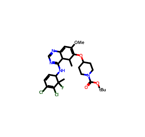 COC1=C(OC2CCN(C(=O)OC(C)(C)C)CC2)C(C)C2C(=C1)N=CN=C2NC1C=CC(Cl)=C(Cl)C1(C)F